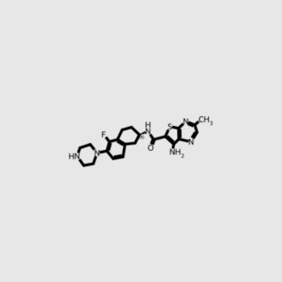 Cc1cnc2c(N)c(C(=O)N[C@@H]3CCc4c(ccc(N5CCNCC5)c4F)C3)sc2n1